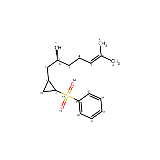 CC(C)=CCC[C@H](C)CC1CC1S(=O)(=O)c1ccccc1